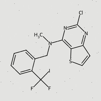 CN(Cc1ccccc1C(F)(F)I)c1nc(Cl)nc2ccsc12